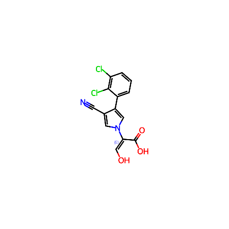 N#Cc1cn(/C(=C/O)C(=O)O)cc1-c1cccc(Cl)c1Cl